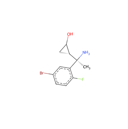 C[C@](N)(c1cc(Br)ccc1F)[C@@H]1CC1O